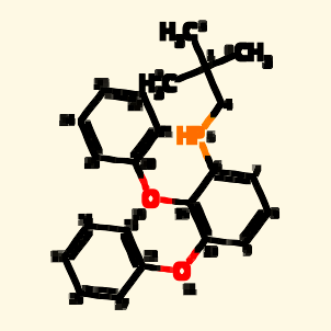 CC(C)(C)CPc1cccc(Oc2ccccc2)c1Oc1ccccc1